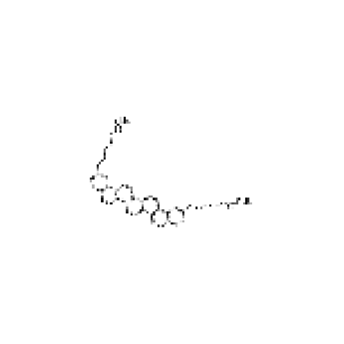 CCCCOCCCCCc1ccc2ccc3c(ccc4c3ccc3c5ccc6ccc(CCCCCOCCCC)cc6c5ccc34)c2c1